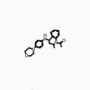 CC(=O)N1c2ccccc2C(Nc2ccc(N3CCOCC3)cc2)CC1C